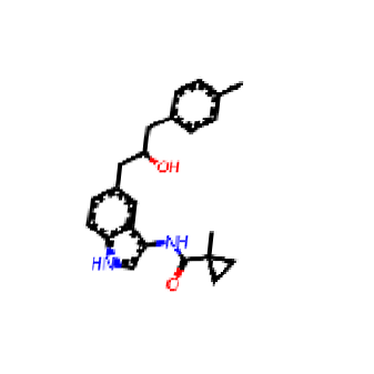 Cc1ccc(CC(O)Cc2ccc3[nH]cc(NC(=O)C4(C)CC4)c3c2)cc1